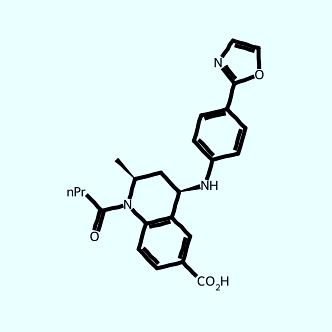 CCCC(=O)N1c2ccc(C(=O)O)cc2[C@H](Nc2ccc(-c3ncco3)cc2)C[C@@H]1C